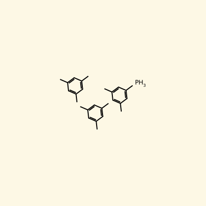 Cc1cc(C)cc(C)c1.Cc1cc(C)cc(C)c1.Cc1cc(C)cc(C)c1.P